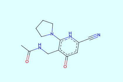 CC(=O)NCc1c(N2CCCC2)[nH]c(C#N)cc1=O